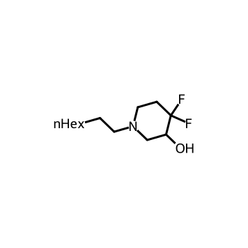 CCCCCCCCN1CCC(F)(F)C(O)C1